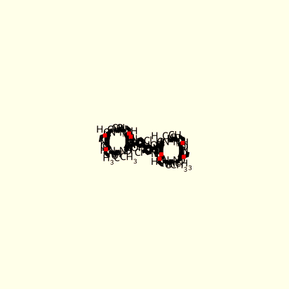 CC(C)[C@H]1NC(=O)[C@@H]2C[C@@]3(O)c4cc(-c5cc6c(cc5Cl)N[C@H]5N7C(=O)[C@H]8CCCNN8C(=O)[C@H](C)N(C)C(=O)[C@H]8CCCNN8C(=O)[C@@H]8CCCNN8C(=O)[C@@H](C(C)C)NC(=O)[C@@H]7C[C@@]65O)c(Cl)cc4N[C@H]3N2C(=O)[C@H]2CCCNN2C(=O)[C@H](C)N(C)C(=O)[C@H]2CCCNN2C(=O)[C@@H]2CCCNN2C1=O